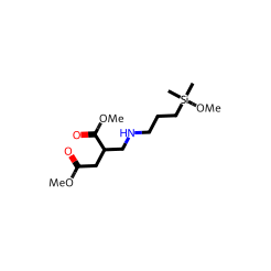 COC(=O)CC(CNCCC[Si](C)(C)OC)C(=O)OC